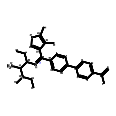 C=C(C)c1ccc(-c2ccc(/C(=N/C(CC)C(N)N(C)CC)c3csc(C)c3C)cc2)cc1